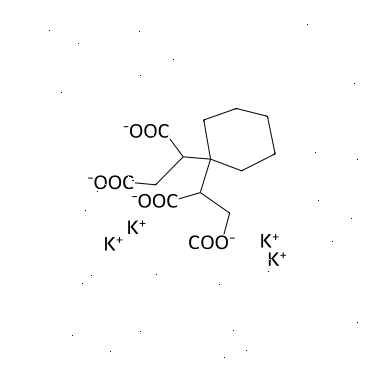 O=C([O-])CC(C(=O)[O-])C1(C(CC(=O)[O-])C(=O)[O-])CCCCC1.[K+].[K+].[K+].[K+]